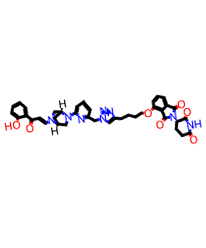 O=C1CCC(N2C(=O)c3cccc(OCCCCc4cn(Cc5cccc(N6C[C@H]7C[C@@H]6CN7/C=C/C(=O)c6ccccc6O)n5)nn4)c3C2=O)C(=O)N1